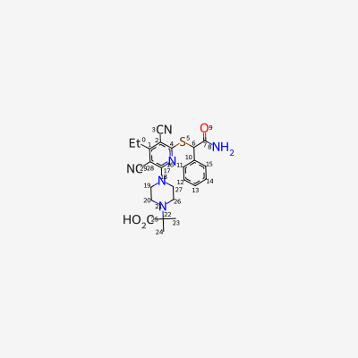 CCc1c(C#N)c(SC(C(N)=O)c2ccccc2)nc(N2CCN(C(C)(C)C(=O)O)CC2)c1C#N